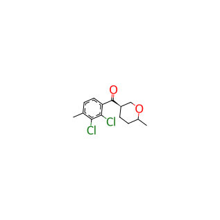 Cc1ccc(C(=O)[C@@H]2CCC(C)OC2)c(Cl)c1Cl